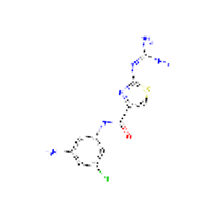 NC(N)=Nc1nc(C(=O)Nc2cc(N)cc(Cl)c2)cs1